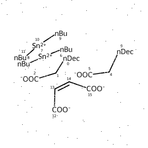 CCCCCCCCCCCC(=O)[O-].CCCCCCCCCCCC(=O)[O-].CCC[CH2][Sn+2][CH2]CCC.CCC[CH2][Sn+2][CH2]CCC.O=C([O-])/C=C\C(=O)[O-]